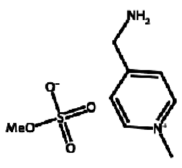 COS(=O)(=O)[O-].C[n+]1ccc(CN)cc1